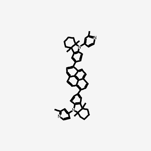 Cc1cc(N2c3ccc(-c4ccc5ccc6c(-c7ccc8c(c7)C7(C)CCCCC7(C)N8c7ccnc(C)c7)ccc7ccc4c5c76)cc3C3(C)CCCCC23C)ccn1